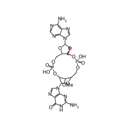 COC1C2COP(=O)(O)OC34COC3C(n3cnc5c(N)ncnc53)OC4COP(=O)(O)OC1C(n1cnc3c(=O)[nH]c(N)nc31)O2